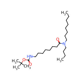 CCCCCCCCN(CCCC)C(=O)CCCCCCCNC(=O)OC(C)(C)C